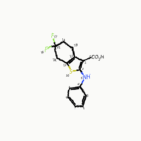 O=C(O)c1c(Nc2ccccc2)sc2c1CCC(F)(F)C2